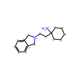 NC1(CCN2Cc3ccccc3C2)CCCCC1